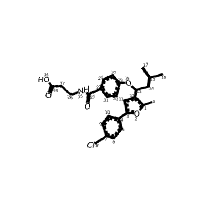 Cc1oc(-c2ccc(Cl)cc2)cc1C(CC(C)C)Oc1ccc(C(=O)NCCC(=O)O)cc1